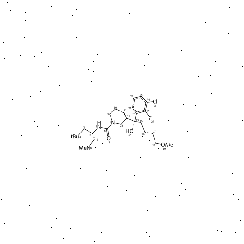 CNC[C@H](CC(C)(C)C)NC(=O)N1CCC[C@@H]([C@](O)(CCCCOC)c2cccc(Cl)c2F)C1